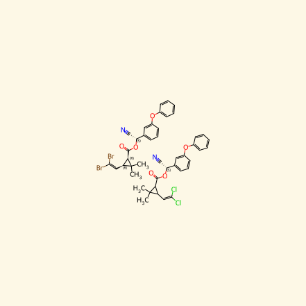 CC1(C)C(C=C(Cl)Cl)C1C(=O)O[C@H](C#N)c1cccc(Oc2ccccc2)c1.CC1(C)[C@H](C(=O)O[C@H](C#N)c2cccc(Oc3ccccc3)c2)[C@@H]1C=C(Br)Br